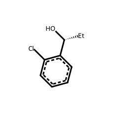 CC[C@@H](O)c1ccccc1Cl